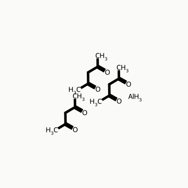 CC(=O)CC(C)=O.CC(=O)CC(C)=O.CC(=O)CC(C)=O.[AlH3]